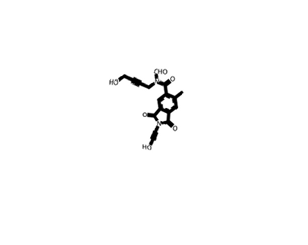 Cc1cc2c(cc1C(=O)N(C=O)CC#CCO)C(=O)N(C#CO)C2=O